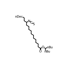 CCCCCCCCCCCCC(CCCCCCCCCCCC(=O)OC(CCCC)CCCC)N=C=S